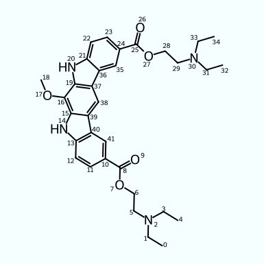 CCN(CC)CCOC(=O)c1ccc2[nH]c3c(OC)c4[nH]c5ccc(C(=O)OCCN(CC)CC)cc5c4cc3c2c1